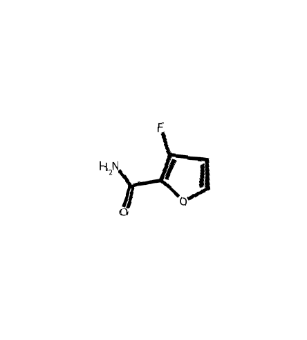 NC(=O)c1occc1F